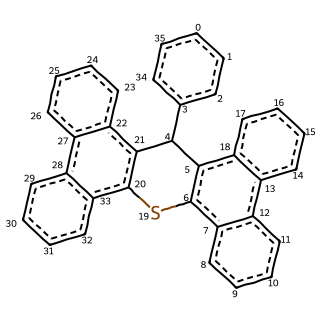 c1ccc(C2c3c(c4ccccc4c4ccccc34)Sc3c2c2ccccc2c2ccccc32)cc1